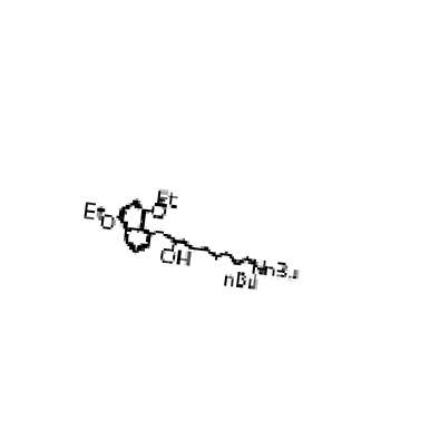 CCCCN(CCCC)CCCCCCCC(O)Cc1cccc2c(OCC)ccc(OCC)c12